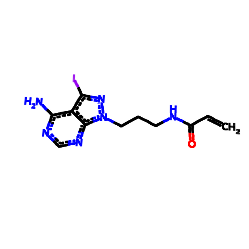 C=CC(=O)NCCCn1nc(I)c2c(N)ncnc21